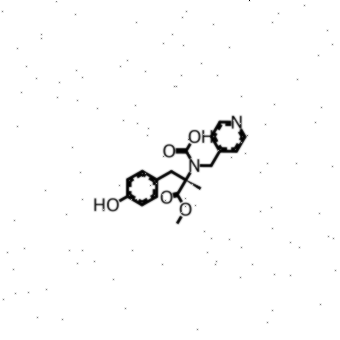 COC(=O)[C@](C)(Cc1ccc(O)cc1)N(Cc1ccncc1)C(=O)O